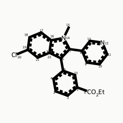 CCOC(=O)c1cccc(-c2c(-c3cccnc3)n(C)c3ccc(Cl)cc23)c1